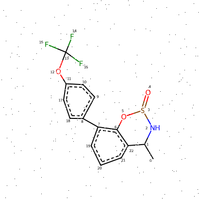 CC1NS(=O)Oc2c(-c3ccc(OC(F)(F)F)cc3)cccc21